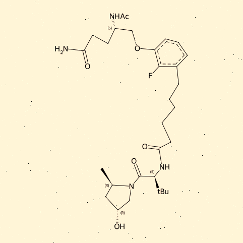 CC(=O)N[C@@H](CCC(N)=O)COc1cccc(CCCCCC(=O)N[C@H](C(=O)N2C[C@H](O)C[C@H]2C)C(C)(C)C)c1F